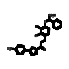 O=C(CCc1ccc(OC(C(=O)O)c2ccccc2)c(Cl)c1Cl)c1ccc(-c2ccc(C(F)(F)F)cc2)s1